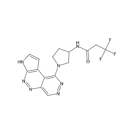 O=C(CC(F)(F)F)NC1CCN(c2nncc3nnc4[nH]ccc4c23)C1